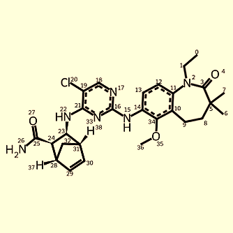 CCN1C(=O)C(C)(C)CCc2c1ccc(Nc1ncc(Cl)c(N[C@@H]3[C@H](C(N)=O)[C@H]4C=C[C@@H]3C4)n1)c2OC